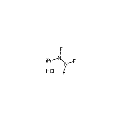 CC(C)N(F)N(F)F.Cl